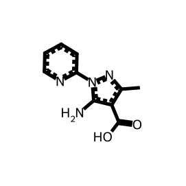 Cc1nn(-c2ccccn2)c(N)c1C(=O)O